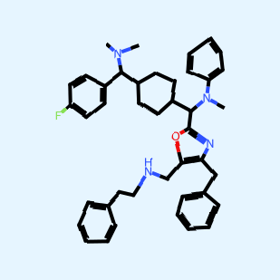 CN(C)C(c1ccc(F)cc1)C1CCC(C(c2nc(Cc3ccccc3)c(CNCCc3ccccc3)o2)N(C)c2ccccc2)CC1